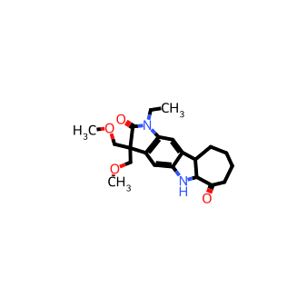 CCN1C(=O)C(COC)(COC)c2cc3c(cc21)C1CCCCC(=O)C1N3